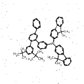 CC(C)(C)c1cc(-c2ccc(-c3ccccc3)cc2-c2cccc(N(c3ccc4c(c3)C(C)(C)c3ccccc3-4)c3ccc4c(c3)C(C)(C)c3ccccc3-4)c2)cc(C(C)(C)C)c1